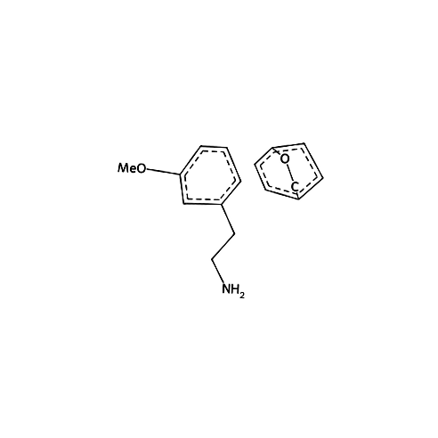 COc1cccc(CCN)c1.c1cc2ccc1CO2